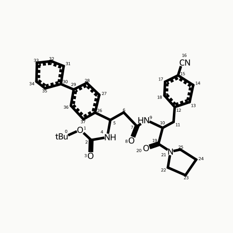 CC(C)(C)OC(=O)NC(CC(=O)NC(Cc1ccc(C#N)cc1)C(=O)N1CCCC1)c1ccc(-c2ccccc2)cc1